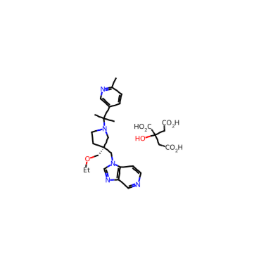 CCOC[C@]1(Cn2cnc3cnccc32)CCN(C(C)(C)c2ccc(C)nc2)C1.O=C(O)CC(O)(CC(=O)O)C(=O)O